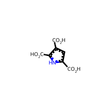 O=C(O)c1cc(C(=O)O)c(C(=O)O)[nH]1